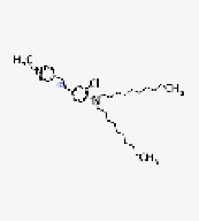 CCCCCCCCCCN(CCCCCCCCCC)c1ccc(/C=C/c2cc[n+](CC)cc2)cc1Cl